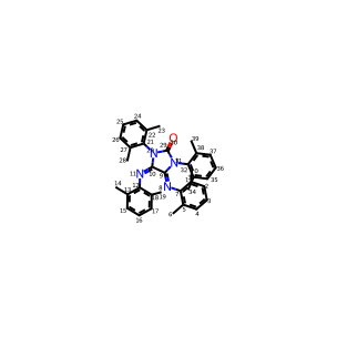 Cc1cccc(C)c1/N=C1/C(=N\c2c(C)cccc2C)N(c2c(C)cccc2C)C(=O)N1c1c(C)cccc1C